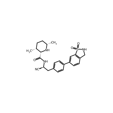 C[C@@H]1CC[C@H](C)N[C@@H]1C(=O)N[C@H](C#N)Cc1ccc(-c2ccc3c(c2)S(=O)(=O)NC3)cc1